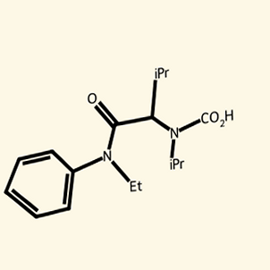 CCN(C(=O)C(C(C)C)N(C(=O)O)C(C)C)c1ccccc1